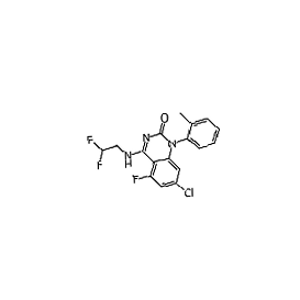 Cc1ccccc1-n1c(=O)nc(NCC(F)F)c2c(F)cc(Cl)cc21